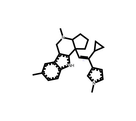 Cc1ccc2[nH]c3c(c2c1)CN(C)C1CCCC31/C=C(/c1ccn(C)c1)C1CC1